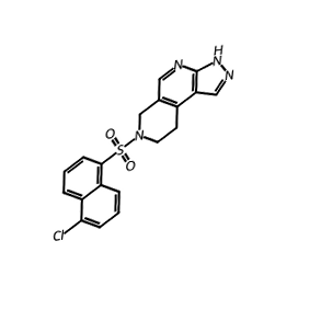 O=S(=O)(c1cccc2c(Cl)cccc12)N1CCc2c(cnc3[nH]ncc23)C1